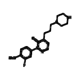 COc1ccc(-n2nccc(CCCN3CCNCC3)c2=O)cc1F